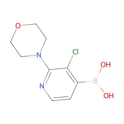 OB(O)c1ccnc(N2CCOCC2)c1Cl